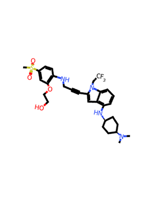 CN(C)[C@H]1CC[C@@H](Nc2cccc3c2cc(C#CCNc2ccc(S(C)(=O)=O)cc2OCCO)n3CC(F)(F)F)CC1